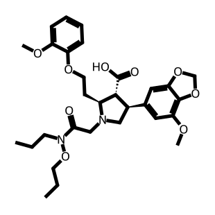 CCCON(CCC)C(=O)CN1C[C@H](c2cc(OC)c3c(c2)OCO3)[C@@H](C(=O)O)[C@@H]1CCOc1ccccc1OC